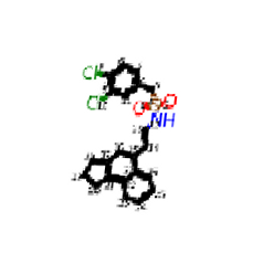 O=S(=O)(Cc1ccc(Cl)c(Cl)c1)NCCC1CC2CCCC2=C2CC=CC=C21